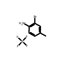 Cc1ccc([NH3+])c(Br)c1.F[B-](F)(F)F